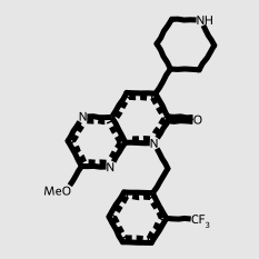 COc1cnc2cc(C3CCNCC3)c(=O)n(Cc3ccccc3C(F)(F)F)c2n1